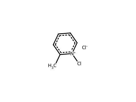 Cc1cccc[n+]1Cl.[Cl-]